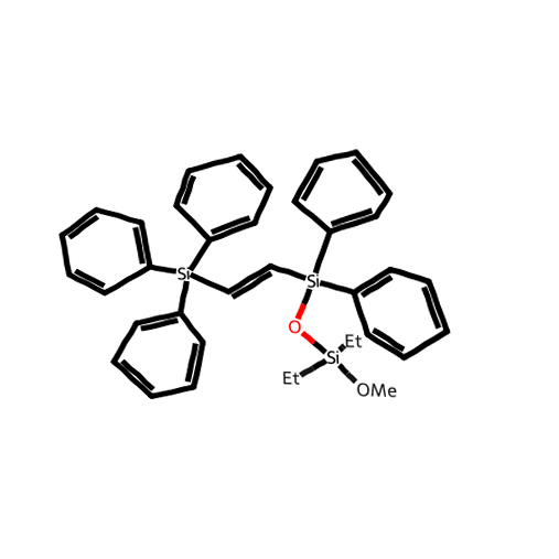 CC[Si](CC)(OC)O[Si](C=C[Si](c1ccccc1)(c1ccccc1)c1ccccc1)(c1ccccc1)c1ccccc1